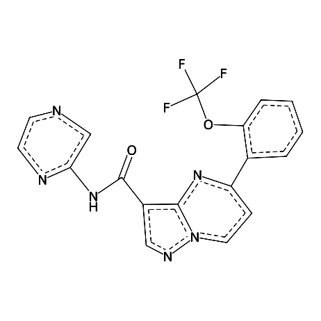 O=C(Nc1cnccn1)c1cnn2ccc(-c3ccccc3OC(F)(F)F)nc12